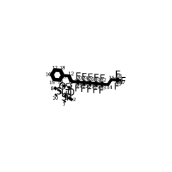 C[Si](C)(C)O[SiH](O[Si](C)(C)C)C(=Cc1ccccc1)C(F)(F)C(F)(F)C(F)(F)C(F)(F)C(F)(F)CCC(F)(F)F